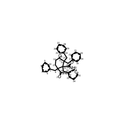 NC(=O)C1(Cc2ccccc2)CCC(=O)C(Cc2ccccc2)(Cc2ccccc2)C1(Cc1ccccc1)C(N)=O